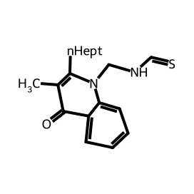 CCCCCCCc1c(C)c(=O)c2ccccc2n1CNC=S